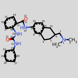 CN(C)CC1CCc2cc(NC(=O)c3ccccc3NC(=O)Nc3ccccc3)ccc2C1